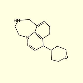 C1=CN2CCNCC3=CCCC(=C32)C1C1CCOCC1